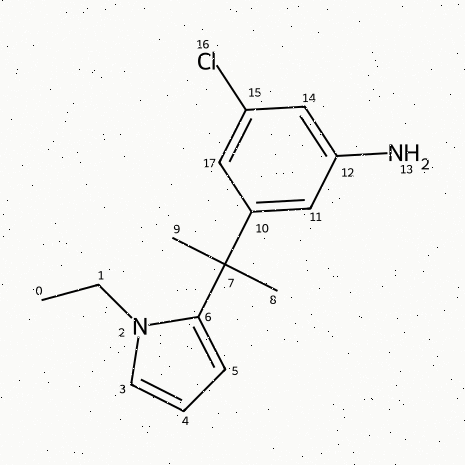 CCn1cccc1C(C)(C)c1cc(N)cc(Cl)c1